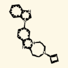 C1=CC(N2CCc3nc4ccc(-n5cnc6ccccc65)cc4n3CC2)=C1